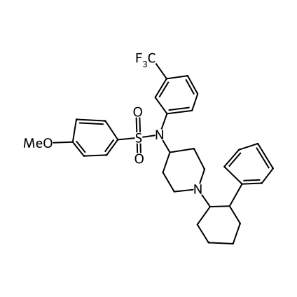 COc1ccc(S(=O)(=O)N(c2cccc(C(F)(F)F)c2)C2CCN(C3CCCCC3c3ccccc3)CC2)cc1